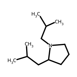 CC(C)CC1CCCN1CC(C)C